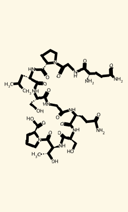 CC(C)C[C@H](NC(=O)[C@@H]1CCCN1C(=O)CNC(=O)[C@@H](N)CCC(N)=O)C(=O)N[C@@H](CO)C(=O)NCC(=O)N[C@@H](CCC(N)=O)C(=O)N[C@@H](CO)C(=O)N[C@H](C(=O)N1CCC[C@H]1C(=O)O)[C@@H](C)O